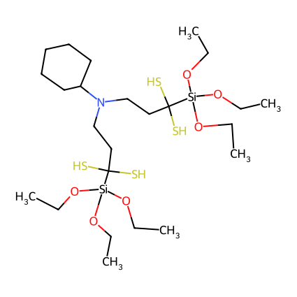 CCO[Si](OCC)(OCC)C(S)(S)CCN(CCC(S)(S)[Si](OCC)(OCC)OCC)C1CCCCC1